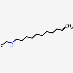 C=CCCCCCCCCCNCC